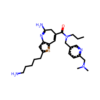 CCCN(Cc1ccc(CN(C)C)nc1)C(=O)C1=Cc2sc(CCCCCN)cc2N=C(N)C1